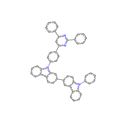 c1ccc(-c2cc(-c3ccc(-n4c5ccccc5c5ccc(-c6ccc7c(c6)c6ccccc6n7-c6ccccc6)cc54)cc3)nc(-c3ccccc3)n2)cc1